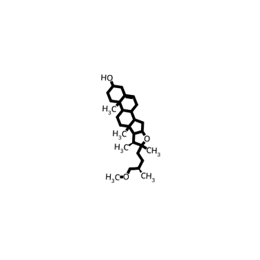 COC[C@H](C)CCC1(C)OC2CC3C4CC=C5CC(O)CCC5(C)C4CCC3(C)C2[C@@H]1C